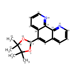 CC1(C)OB(c2cc3cccnc3c3ncccc23)OC1(C)C